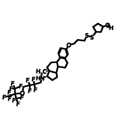 [2H]OC1CCC(SSCCCOc2ccc3c(c2)CCC2C3CC[C@@]3(C)C2CC[C@@H]3NCC(F)(F)C(F)(F)COC(C(F)(F)F)(C(F)(F)F)C(F)(F)F)C1